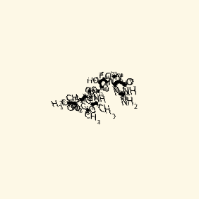 CC(C)OC(=O)[C@@H](C)N[P@](=O)(OCCSC(=O)C(C)(C)C)OC[C@H]1O[C@@H](n2cnc3c(=O)[nH]c(N)nc32)[C@@](F)(Cl)[C@@H]1O